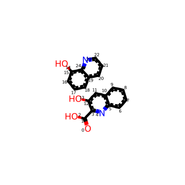 O=C(O)c1nc2ccccc2cc1O.Oc1cccc2cccnc12